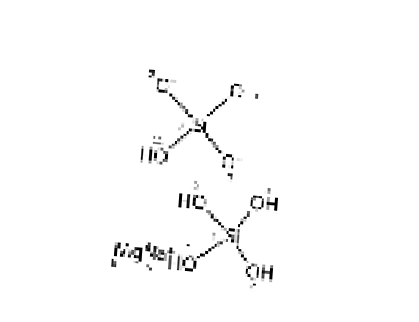 O[Si](O)(O)O.[Mg+2].[Na+].[O-][Si]([O-])([O-])O